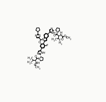 CON[C@H](C(=O)N1CCC[C@H]1c1ncc(-c2cc(F)c3c(c2)OC(c2cnc(C4CCCC4)s2)n2c-3cc3cc(-c4cnc([C@@H]5CCCN5C(=O)[C@@H](NC(=O)OC)C(C)C)[nH]4)ccc32)[nH]1)C(C)C